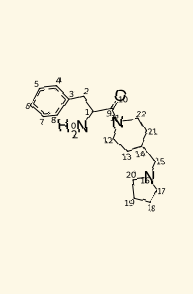 NC(Cc1ccccc1)C(=O)N1CCC(CN2CCCC2)CC1